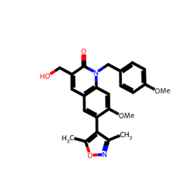 COc1ccc(Cn2c(=O)c(CO)cc3cc(-c4c(C)noc4C)c(OC)cc32)cc1